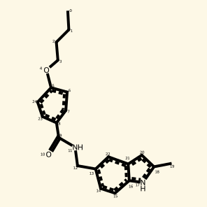 CCCCOc1ccc(C(=O)NCc2ccc3[nH]c(C)cc3c2)cc1